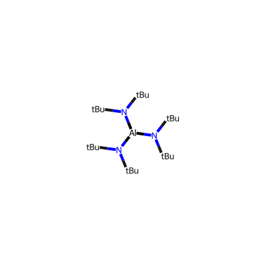 CC(C)(C)[N]([Al]([N](C(C)(C)C)C(C)(C)C)[N](C(C)(C)C)C(C)(C)C)C(C)(C)C